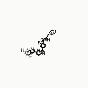 Nc1ncc(-c2ccc3ncc(-c4ccc(C(=O)NCCCN5CCOCC5)c(F)c4)n3n2)cc1C(F)(F)F